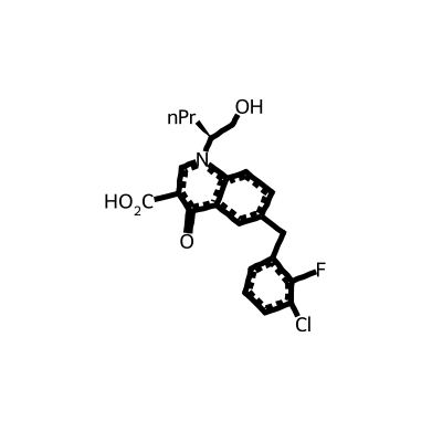 CCC[C@@H](CO)n1cc(C(=O)O)c(=O)c2cc(Cc3cccc(Cl)c3F)ccc21